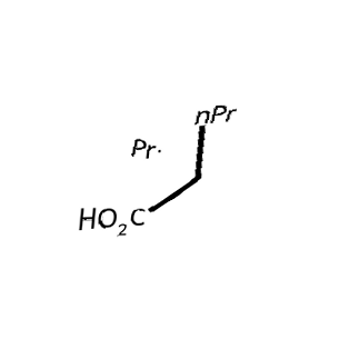 CCCCC(=O)O.[Pr]